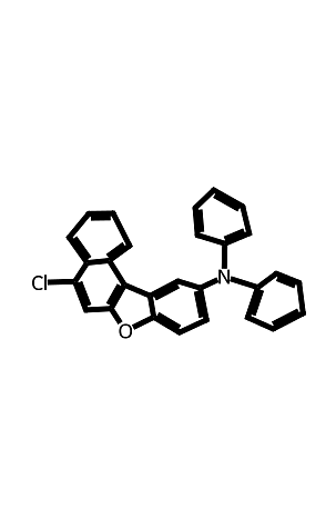 Clc1cc2oc3ccc(N(c4ccccc4)c4ccccc4)cc3c2c2ccccc12